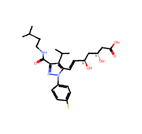 CC(C)CCNC(=O)c1nn(-c2ccc(F)cc2)c(C=C[C@H](O)C[C@@H](O)CC(=O)O)c1C(C)C